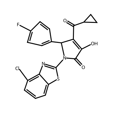 O=C(C1=C(O)C(=O)N(c2nc3c(Cl)cccc3s2)C1c1ccc(F)cc1)C1CC1